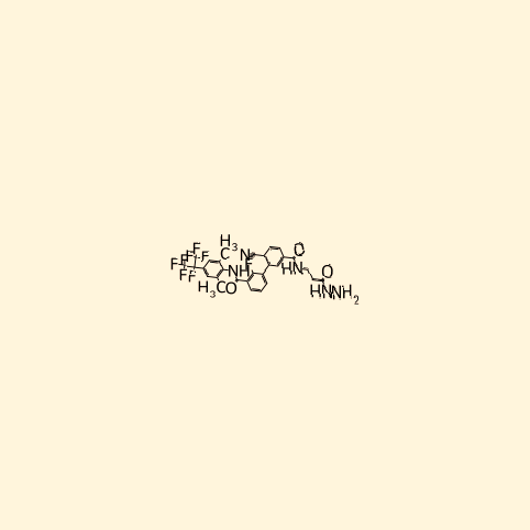 Cc1cc(C(F)(C(F)(F)F)C(F)(F)F)cc(C)c1NC(=O)c1cccc(-c2cc(C(=O)NCCC(=O)NN)ccc2C#N)c1F